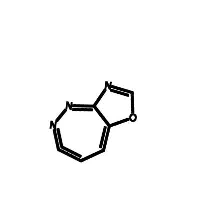 C1=CC=c2ocnc2=NN=1